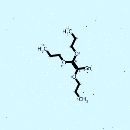 CCCO[C]([Sn])=C(OCCC)OCCC